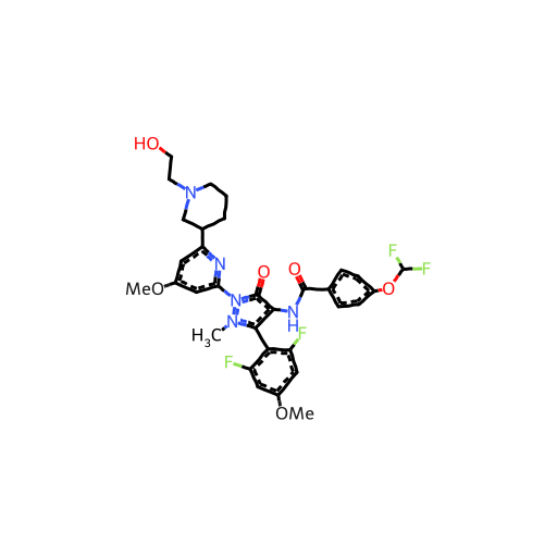 COc1cc(C2CCCN(CCO)C2)nc(-n2c(=O)c(NC(=O)c3ccc(OC(F)F)cc3)c(-c3c(F)cc(OC)cc3F)n2C)c1